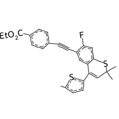 CCOC(=O)c1ccc(C#Cc2cc3c(cc2F)SC(C)(C)C=C3c2ccc(C)s2)cc1